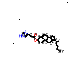 CC(C)CCCC(C)[C@H]1CCC2C3CC=C4C[C@@H](OC(=O)CCc5c[nH]cn5)CC[C@]4(C)C3CC[C@@]21C